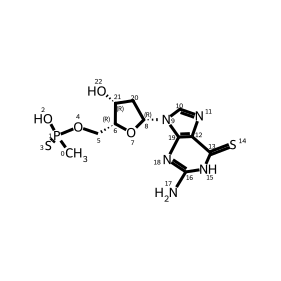 CP(O)(=S)OC[C@H]1O[C@@H](n2cnc3c(=S)[nH]c(N)nc32)C[C@H]1O